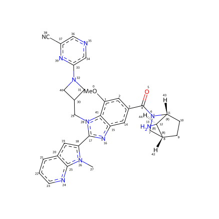 COc1cc(C(=O)N2C[C@H]3CC[C@@H]2[C@@H]3N)cc2nc(-c3cc4cccnc4n3C)n(CC3CN(c4cncc(C#N)n4)C3)c12